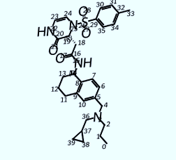 CCCN(Cc1ccc2c(c1)CCC[C@H]2NC(=O)C[C@@H]1C(=O)NC=CN1S(=O)(=O)c1ccc(C)cc1)CC1CC1